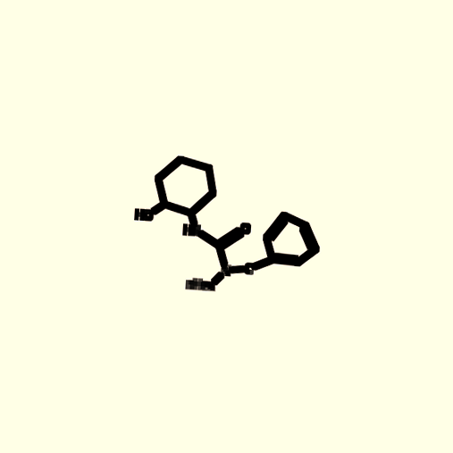 CCCCCCN(Cc1ccccc1)C(=O)NC1CCCCC1O